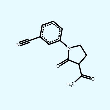 CC(=O)C1CCN(c2cccc(C#N)c2)C1=O